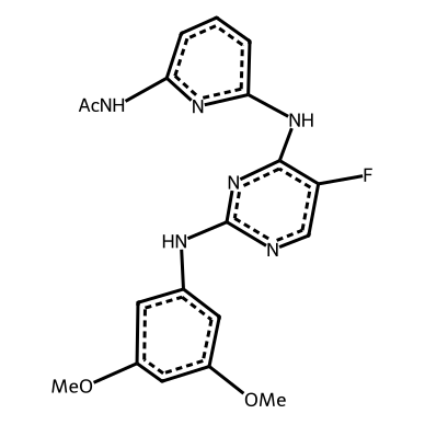 COc1cc(Nc2ncc(F)c(Nc3cccc(NC(C)=O)n3)n2)cc(OC)c1